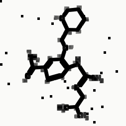 CC(C)CN=C(N)Nc1ccc(C(N)=O)cc1OCC1CCCCO1